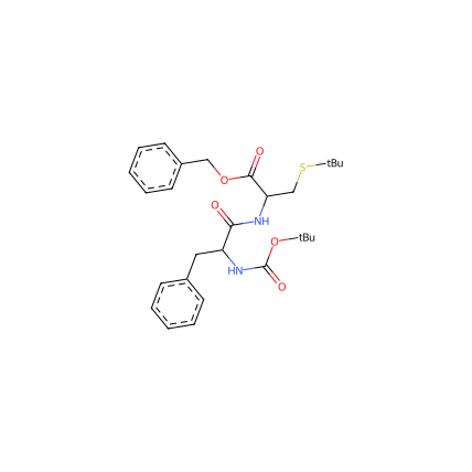 CC(C)(C)OC(=O)NC(Cc1ccccc1)C(=O)NC(CSC(C)(C)C)C(=O)OCc1ccccc1